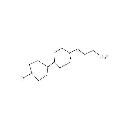 CCC1CCC(C2CCC(CCCC(=O)O)CC2)CC1